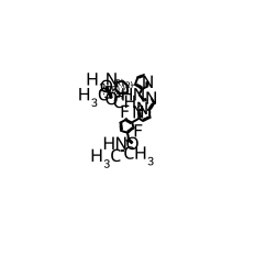 CC(C)NC(=O)c1ccc(F)c(-c2ccc3cnc(Nc4cnccc4[C@H]4C[C@@H](N)[C@H](S(C)(=O)=O)[C@@H](C)C4)n3n2)c1F